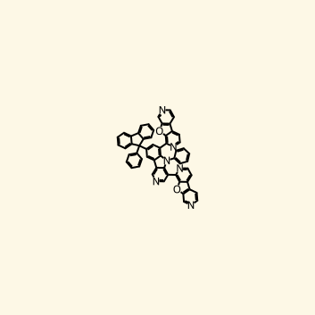 c1ccc(-n2c3c(-c4nccc5c4oc4cnccc45)cncc3c3cc(C4(c5ccccc5)c5ccccc5-c5ccccc54)cc(-c4nccc5c4oc4cnccc45)c32)cc1